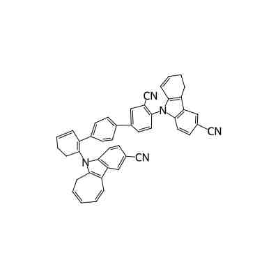 N#Cc1ccc2c(c1)c1c(n2C2=C(c3ccc(-c4ccc(-n5c6c(c7cc(C#N)ccc75)CCC=C6)c(C#N)c4)cc3)C=CCC2)CC=CC=C1